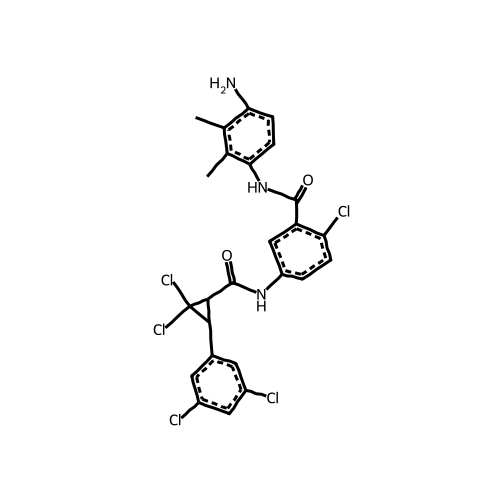 Cc1c(N)ccc(NC(=O)c2cc(NC(=O)C3C(c4cc(Cl)cc(Cl)c4)C3(Cl)Cl)ccc2Cl)c1C